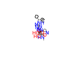 CCNC(=O)[C@H]1O[C@@](NC2CCC(N(C)C)C2)(On2cnc3c(NCC(c4ccccc4)c4ccccc4)ncnc32)[C@H](O)[C@@H]1O